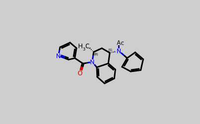 CC(=O)N(c1ccccc1)[C@H]1C[C@@H](C)N(C(=O)c2cccnc2)c2ccccc21